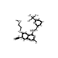 COCCOc1cc2c(NCc3cccc(C(F)(F)F)n3)nc(C)nc2cc1C#N